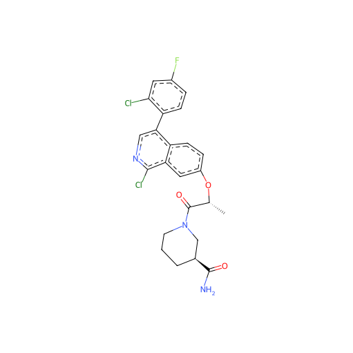 C[C@@H](Oc1ccc2c(-c3ccc(F)cc3Cl)cnc(Cl)c2c1)C(=O)N1CCC[C@H](C(N)=O)C1